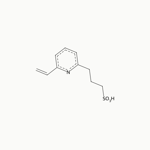 C=Cc1cccc(CCCS(=O)(=O)O)n1